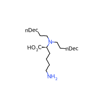 CCCCCCCCCCCCN(CCCCCCCCCCCC)[C@@H](CCCCN)C(=O)O